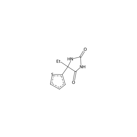 CCC1(c2cccs2)NC(=O)NC1=O